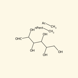 CC(C)=O.CCCCCC.O=CC(O)C(O)C(O)C(O)CO